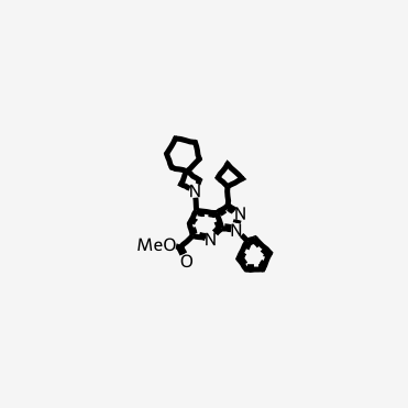 COC(=O)c1cc(N2CC3(CCCCC3)C2)c2c(C3CCC3)nn(-c3ccccc3)c2n1